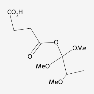 COC(C)C(OC)(OC)OC(=O)CCC(=O)O